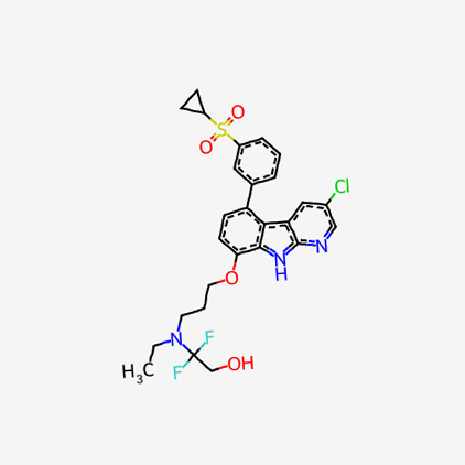 CCN(CCCOc1ccc(-c2cccc(S(=O)(=O)C3CC3)c2)c2c1[nH]c1ncc(Cl)cc12)C(F)(F)CO